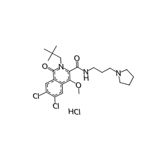 COc1c(C(=O)NCCCN2CCCC2)n(CC(C)(C)C)c(=O)c2cc(Cl)c(Cl)cc12.Cl